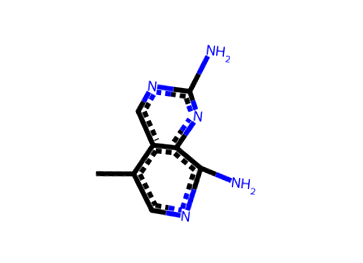 Cc1cnc(N)c2nc(N)ncc12